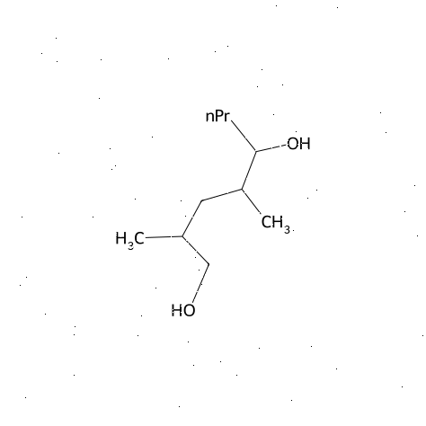 CCCC(O)C(C)CC(C)CO